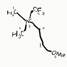 COCC[N+](C)(C)C(F)(F)F